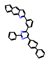 c1ccc(-c2ccc(-c3cc(-c4cccc(-c5ccc6cc7ccccc7cc6n5)c4)nc(-c4ccccc4)n3)cc2)cc1